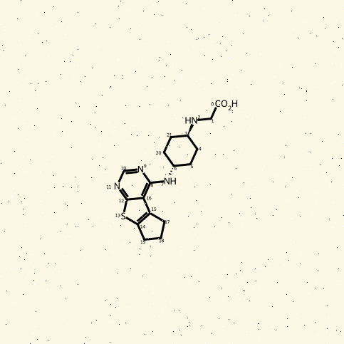 O=C(O)CN[C@H]1CC[C@H](Nc2ncnc3sc4c(c23)CCC4)CC1